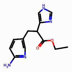 CCOC(=O)C(Cc1ccc(N)nc1)c1c[nH]cn1